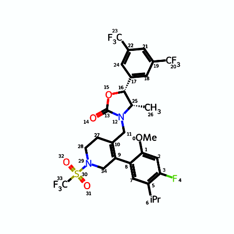 COc1cc(F)c(C(C)C)cc1C1=C(CN2C(=O)O[C@H](c3cc(C(F)(F)F)cc(C(F)(F)F)c3)[C@@H]2C)CCN(S(=O)(=O)C(F)(F)F)C1